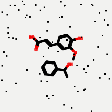 CC(O)c1ccccc1.COc1cc(C=CC(=O)O)ccc1O